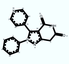 O=C1Cc2nn(-c3ccccc3)c(-c3ccncc3)c2C(=O)N1